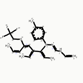 C=CN/C=N/N(C(=C\C)/C(/C=C(\C=C/C)OCC(F)(F)F)=C/C)c1ccc(C)cc1